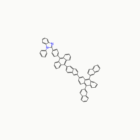 c1ccc(-n2c(-c3ccc(-c4c5ccccc5c(-c5ccc6cc(-c7ccc8c(-c9ccc%10ccccc%10c9)c9ccccc9c(-c9ccc%10ccccc%10c9)c8c7)ccc6c5)c5ccccc45)cc3)nc3ccccc32)cc1